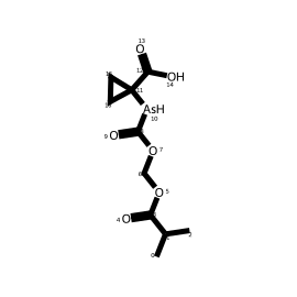 CC(C)C(=O)OCOC(=O)[AsH]C1(C(=O)O)CC1